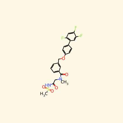 CN(CC(=O)NS(C)(=O)=O)C(=O)c1cccc(COc2ccc(-c3cc(F)c(F)cc3F)cc2)c1